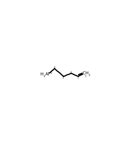 C=CCC[CH2][AlH2]